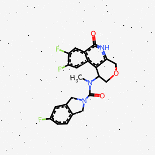 CN(C(=O)N1Cc2ccc(F)cc2C1)C1COCc2[nH]c(=O)c3cc(F)c(F)cc3c21